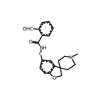 CN1CCC2(CC1)COc1ccc(CNC(=O)c3ccccc3C=O)cc12